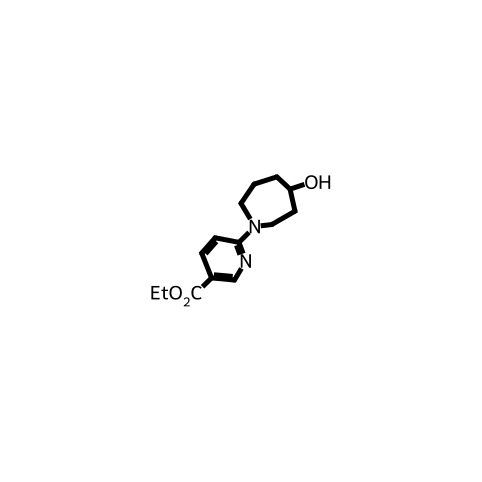 CCOC(=O)c1ccc(N2CCCC(O)CC2)nc1